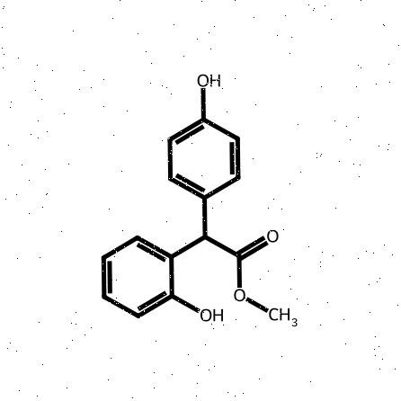 COC(=O)C(c1ccc(O)cc1)c1ccccc1O